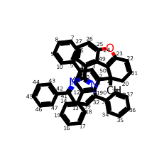 CC1(c2cc(-c3ccccc3)cc(-c3ccccc3)c2)CC=Cc2oc3cccc(C4=NC(c5ccccc5)=CCC(c5ccccc5)=N4)c3c21